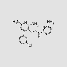 Nc1nccc(NCCc2c(N)nc(N)nc2-c2cccc(Cl)c2)n1